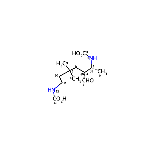 C[C@@H](NC(=O)O)[C@H](C=O)CC(C)(C)CCNC(=O)O